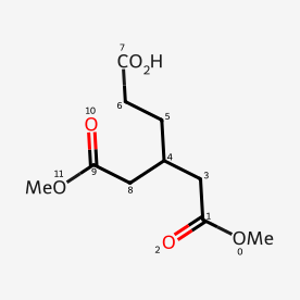 COC(=O)CC(CCC(=O)O)CC(=O)OC